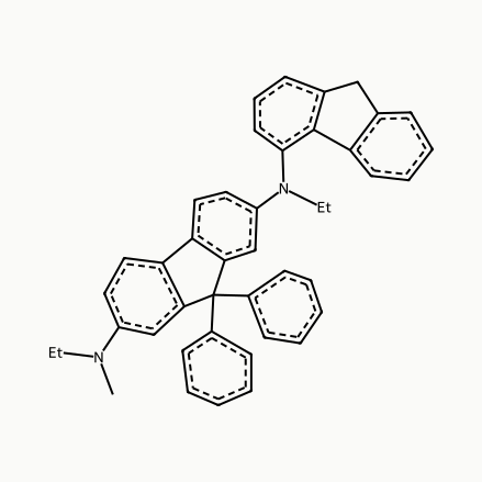 CCN(C)c1ccc2c(c1)C(c1ccccc1)(c1ccccc1)c1cc(N(CC)c3cccc4c3-c3ccccc3C4)ccc1-2